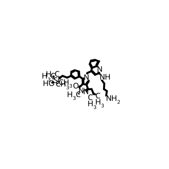 CC(C)Cc1nn(C)c(=O)c2c(-c3cccc(CCC(C)(C)[Si](C)(C)O)c3)n(Cc3cc(NCCCCCN)nc4ccccc34)cc12